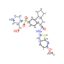 COc1ccc2nc(NC(=O)C(CC3CCCC3)c3ccc(S(=O)(=O)N4CCNCC4CO)cc3)sc2n1